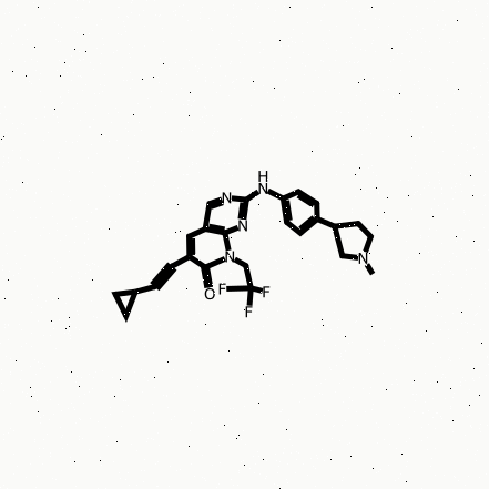 CN1CCC(c2ccc(Nc3ncc4cc(C#CC5CC5)c(=O)n(CC(F)(F)F)c4n3)cc2)C1